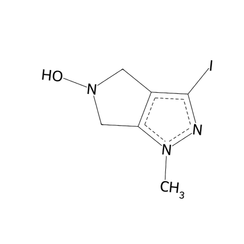 Cn1nc(I)c2c1CN(O)C2